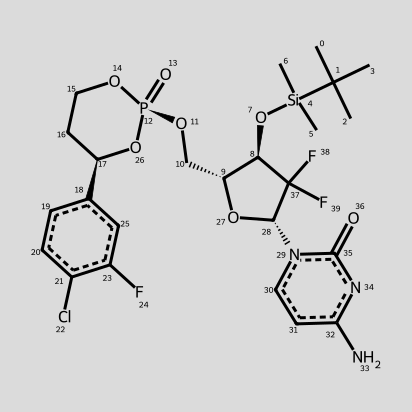 CC(C)(C)[Si](C)(C)O[C@@H]1[C@@H](CO[P@]2(=O)OCC[C@H](c3ccc(Cl)c(F)c3)O2)O[C@@H](n2ccc(N)nc2=O)C1(F)F